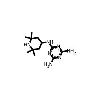 CC1(C)CC(Nc2nc(N)nc(N)n2)CC(C)(C)N1